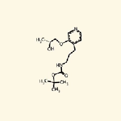 C[C@@H](O)COc1cnccc1CCCNC(=O)OC(C)(C)C